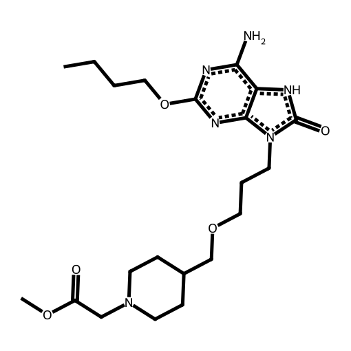 CCCCOc1nc(N)c2[nH]c(=O)n(CCCOCC3CCN(CC(=O)OC)CC3)c2n1